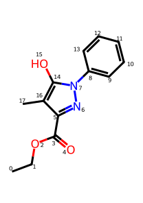 CCOC(=O)c1nn(-c2ccccc2)c(O)c1C